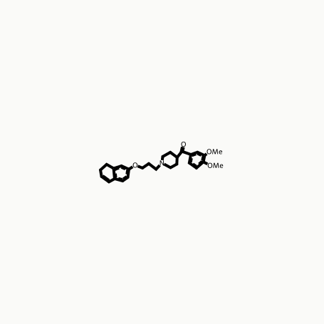 COc1ccc(C(=O)C2CCN(CCCOc3ccc4c(c3)CCC=C4)CC2)cc1OC